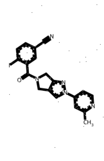 Cc1cc(-n2cc3c(n2)CN(C(=O)c2cc(C#N)ccc2I)C3)ccn1